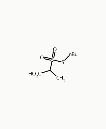 CCCCSS(=O)(=O)C(C)C(=O)O